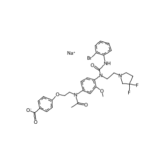 COc1cc(N(CCOc2ccc(C(=O)[O-])cc2)C(C)=O)ccc1N(CCN1CCC(F)(F)C1)C(=O)Nc1ccccc1Br.[Na+]